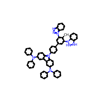 Cc1c(N2NNc3ccccc32)cc(-c2ccc(-n3c4ccc(N(c5ccccc5)c5ccccc5)cc4c4cc(N(c5ccccc5)c5ccccc5)ccc43)cc2)cc1-n1nnc2ccccc21